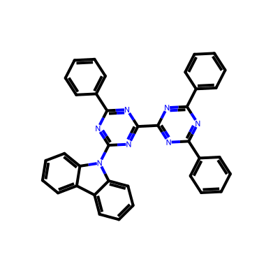 c1ccc(-c2nc(-c3ccccc3)nc(-c3nc(-c4ccccc4)nc(-n4c5ccccc5c5ccccc54)n3)n2)cc1